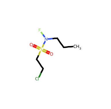 CCCN(F)S(=O)(=O)CCCl